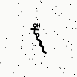 CCCC=CCOCC(C)(C)O